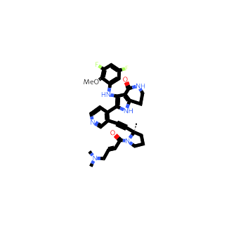 COc1c(F)cc(F)cc1Nc1c(-c2ccncc2C#C[C@@]2(C)CCCN2C(=O)/C=C/CN(C)C)[nH]c2c1C(=O)NCC2